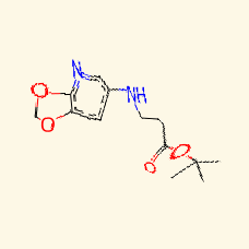 CC(C)(C)OC(=O)CCNc1cnc2c(c1)OCO2